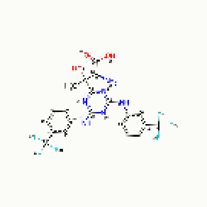 CC(O)(c1nc(Nc2cccc(C(F)(F)F)c2)nc(Nc2cccc(C(F)(F)F)c2)n1)[C@H](N)C(=O)O